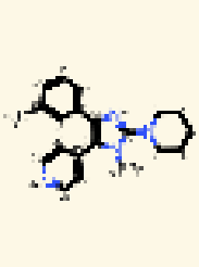 CCCn1c(N2CCCCC2)nc(-c2cccc(C(F)(F)F)c2)c1-c1ccncc1